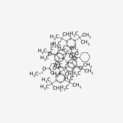 CCOC(=O)COc1c(Cl)ccc(P(=O)(c2cc(C(C)(C)C)cc(C(C)(C)C)c2)c2cc(C(C)(C)C)cc(C(C)(C)C)c2)c1-c1c(P(=O)(c2cc(C(C)(C)C)cc(C(C)(C)C)c2)c2cc(C(C)(C)C)cc(C(C)(C)C)c2)ccc(Cl)c1OC1CCCCC1